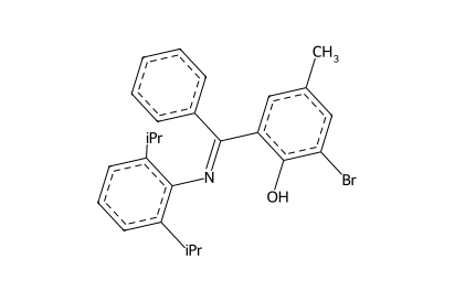 Cc1cc(Br)c(O)c(C(=Nc2c(C(C)C)cccc2C(C)C)c2ccccc2)c1